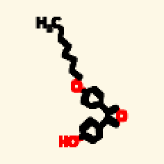 CCCCCCCCOc1ccc(-c2cocc2-c2ccc(O)cc2)cc1